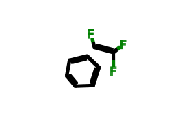 FC=C(F)F.c1ccccc1